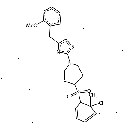 COc1ccccc1Cc1csc(N2CCC(S(=O)(=O)C3C=CC=CC3(C)Cl)CC2)n1